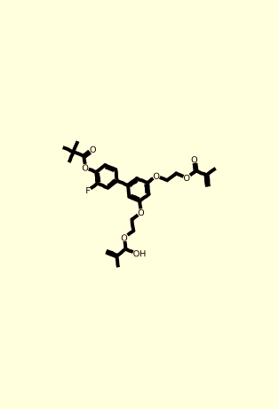 C=C(C)C(=O)OCCOc1cc(OCCOC(O)C(=C)C)cc(-c2ccc(OC(=O)C(C)(C)C)c(F)c2)c1